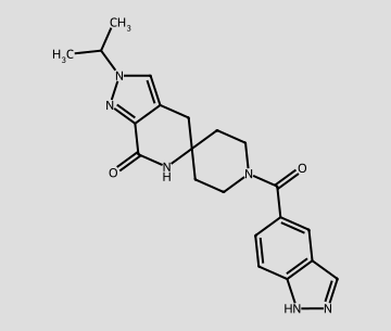 CC(C)n1cc2c(n1)C(=O)NC1(CCN(C(=O)c3ccc4[nH]ncc4c3)CC1)C2